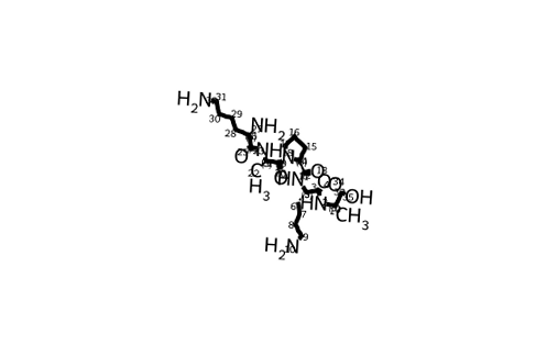 C[C@H](NC(=O)[C@H](CCCCN)NC(=O)[C@@H]1CCCN1C(=O)[C@H](C)NC(=O)[C@@H](N)CCCCN)C(=O)O